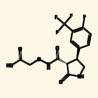 O=C(O)CONC(=O)[C@H]1C(=O)NC[C@@H]1c1ccc(F)c(C(F)(F)F)c1